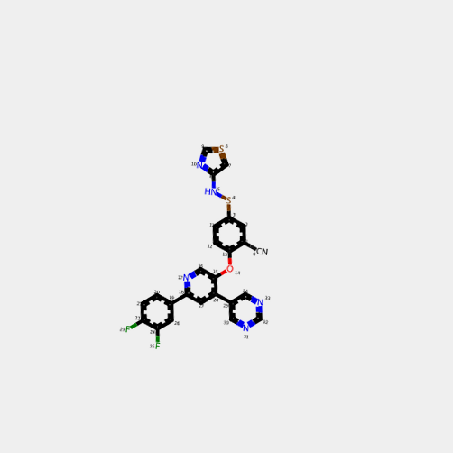 N#Cc1cc(SNc2cscn2)ccc1Oc1cnc(-c2ccc(F)c(F)c2)cc1-c1cncnc1